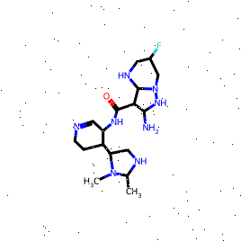 CC1NCC(C2CCN=CC2NC(=O)C2C(N)NN3CC(F)CNC23)N1C